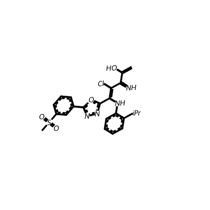 C=C(O)C(=N)/C(Cl)=C(\Nc1ccccc1C(C)C)c1nnc(-c2cccc(S(C)(=O)=O)c2)o1